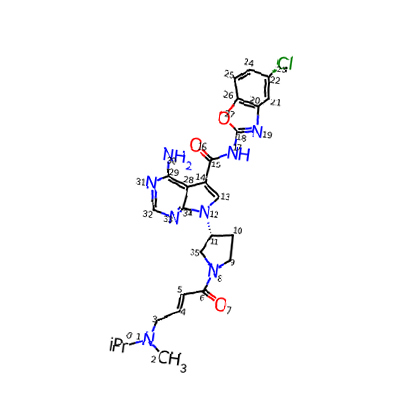 CC(C)N(C)CC=CC(=O)N1CC[C@@H](n2cc(C(=O)Nc3nc4cc(Cl)ccc4o3)c3c(N)ncnc32)C1